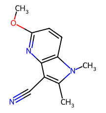 COc1ccc2c(n1)c(C#N)c(C)n2C